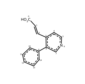 O=C(O)C=Cc1ccncc1-c1ccccc1